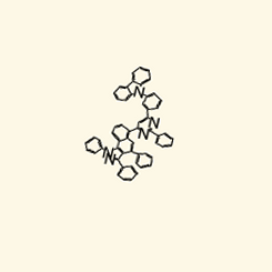 c1ccc(-c2nc(-c3cccc(-n4c5ccccc5c5ccccc54)c3)cc(-c3cccc4c3cc(-c3ccccc3)c3c(-c5ccccc5)nn(-c5ccccc5)c34)n2)cc1